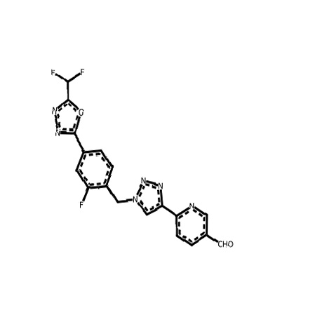 O=Cc1ccc(-c2cn(Cc3ccc(-c4nnc(C(F)F)o4)cc3F)nn2)nc1